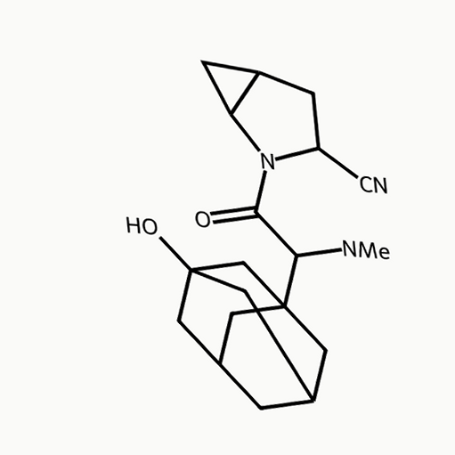 CNC(C(=O)N1C(C#N)CC2CC21)C12CC3CC(CC(O)(C3)C1)C2